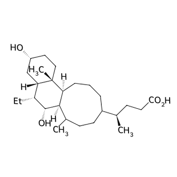 CC[C@H]1[C@@H](O)[C@@H]2C(C)CCC([C@H](C)CCC(=O)O)CCC[C@@H]2[C@@]2(C)CC[C@@H](O)C[C@@H]12